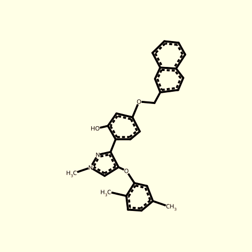 Cc1ccc(C)c(Oc2cn(C)nc2-c2ccc(OCc3ccc4ccccc4c3)cc2O)c1